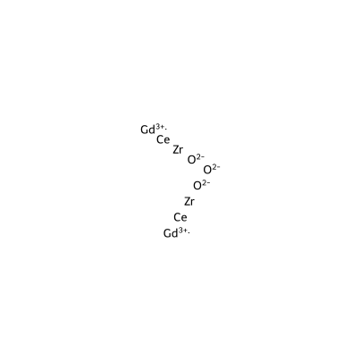 [Ce].[Ce].[Gd+3].[Gd+3].[O-2].[O-2].[O-2].[Zr].[Zr]